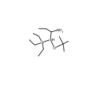 CCC(N)[SiH](OC(C)(C)C)[Si](CC)(CC)CC